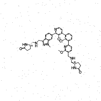 COc1nc(-c2cccc(-c3ccnc(-c4ccc5c(CNC[C@@H]6CCC(=O)N6)nn(C)c5c4)c3Cl)c2Cl)ccc1CNC[C@H]1CCC(=O)N1